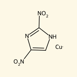 O=[N+]([O-])c1c[nH]c([N+](=O)[O-])n1.[Cu]